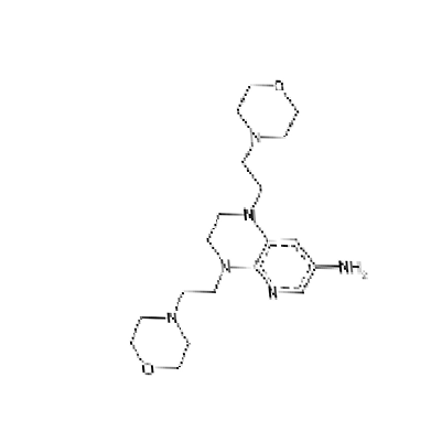 Nc1cnc2c(c1)N(CCN1CCOCC1)CCN2CCN1CCOCC1